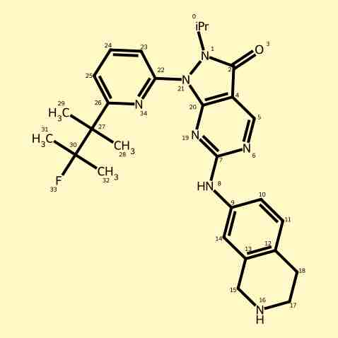 CC(C)n1c(=O)c2cnc(Nc3ccc4c(c3)CNCC4)nc2n1-c1cccc(C(C)(C)C(C)(C)F)n1